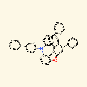 c1ccc(-c2ccc(N(c3ccc(-c4ccccc4)cc3)c3cccc4oc5cc(-c6ccccc6)c6ccccc6c5c34)cc2)cc1